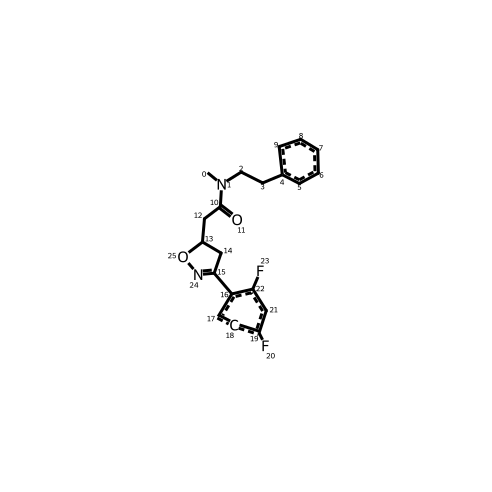 CN(CCc1ccccc1)C(=O)CC1CC(c2ccc(F)cc2F)=NO1